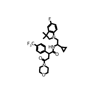 CC1(C)CN(CC(NC(=O)C(CC(=O)N2CCOCC2)c2ccc(C(F)(F)F)cc2)C2CC2)c2ccc(F)cc21